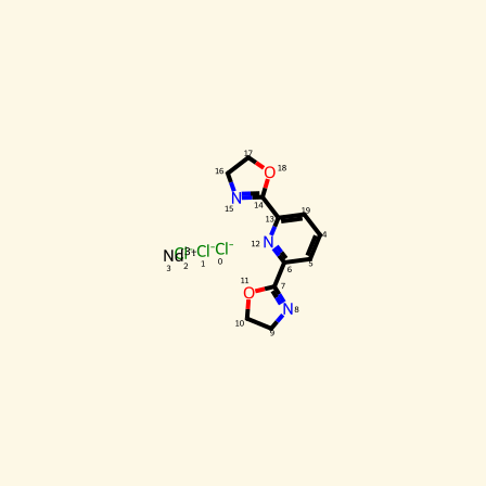 [Cl-].[Cl-].[Cl-].[Nd+3].c1cc(C2=NCCO2)nc(C2=NCCO2)c1